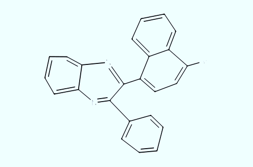 Brc1ccc(-c2nc3ccccc3nc2-c2ccccc2)c2ccccc12